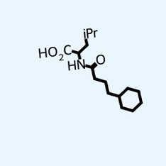 CC(C)CC(NC(=O)CCCC1CCCCC1)C(=O)O